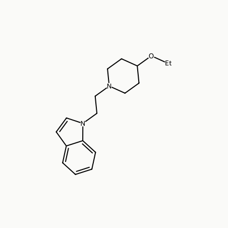 CCOC1CCN(CCn2ccc3ccccc32)CC1